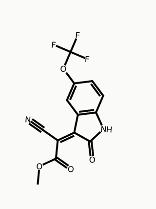 COC(=O)/C(C#N)=C1\C(=O)Nc2ccc(OC(F)(F)F)cc21